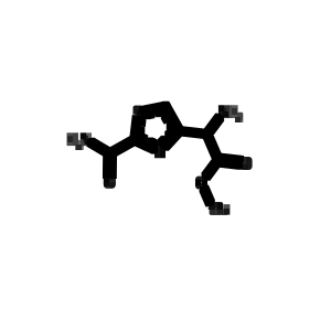 CC(C)(C)OC(=O)C(N)c1csc(C(N)=O)n1